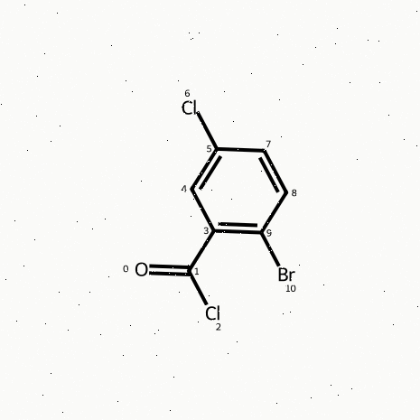 O=C(Cl)c1cc(Cl)ccc1Br